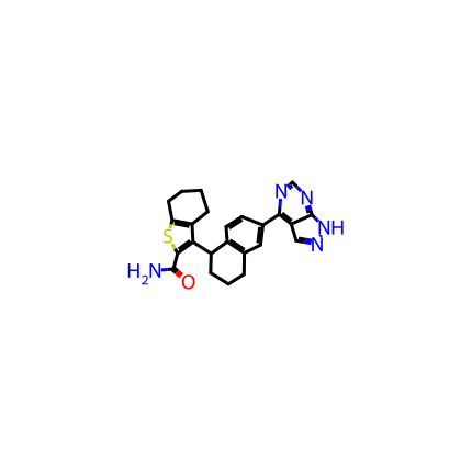 NC(=O)c1sc2c(c1C1CCCc3cc(-c4ncnc5[nH]ncc45)ccc31)CCCC2